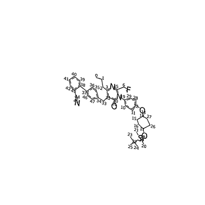 CCCc1nc(CF)n(-c2ccc(OC3CCC(O[Si](C)(C)C(C)(C)C)CC3)cc2)c(=O)c1Cc1ccc(-c2ccccc2C#N)cc1